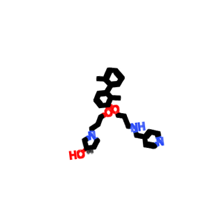 Cc1ccccc1C1=CC=CC(OCCCNCc2ccncc2)(OCCCN2CC[C@@H](O)C2)C1C